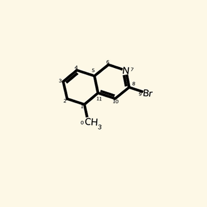 CC1CC=CC2CN=C(Br)C=C12